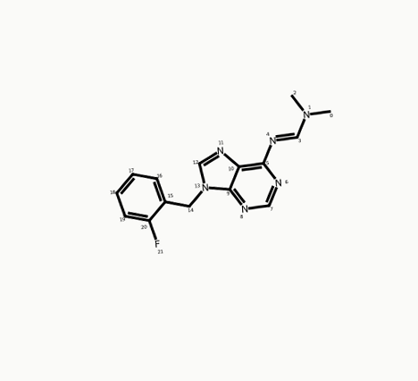 CN(C)/C=N/c1ncnc2c1ncn2Cc1ccccc1F